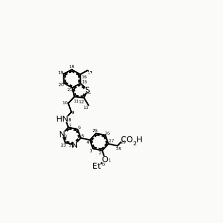 CCOc1cc(-c2cc(NCCc3c(C)sc4c(C)cccc34)ncn2)ccc1CC(=O)O